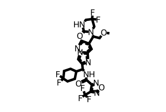 COCC(c1cnn2cc(C(NC(=O)c3nonc3C(F)(F)F)C3CCC(F)(F)CC3)nc2c1)N1CC(F)(F)CNC1=O